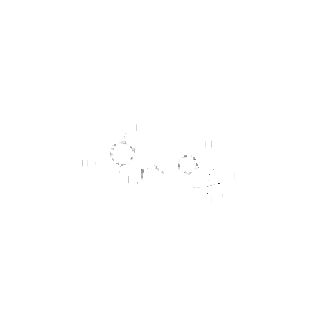 Cc1cc(C(=O)C=Cc2sc(C)c3c2C[C@@H]2[C@H]3C2(C)C)c(C)c(C)c1O